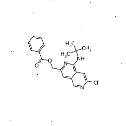 CC(C)(C)Nc1nc(COC(=O)c2ccccc2)cc2cnc(Cl)cc12